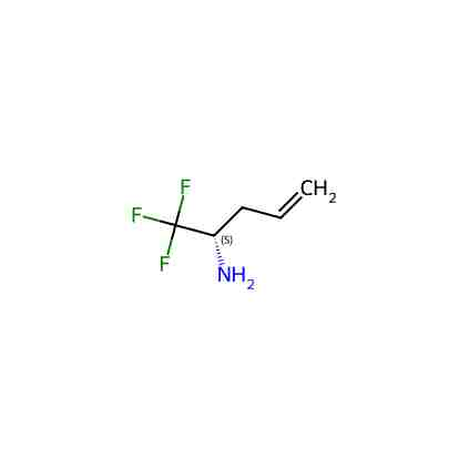 C=CC[C@H](N)C(F)(F)F